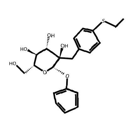 CCSc1ccc(C[C@]2(O)[C@H](Oc3ccccc3)O[C@H](CO)[C@@H](O)[C@@H]2O)cc1